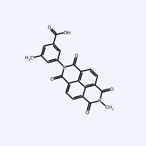 Cc1cc(C(=O)O)cc(N2C(=O)c3ccc4c5c(ccc(c35)C2=O)C(=O)N(C)C4=O)c1